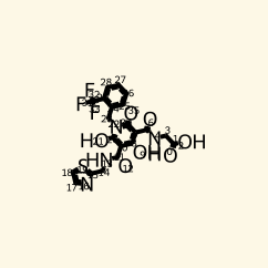 O=C(O)CNC(=O)c1c(O)c(C(=O)NCc2nccs2)c(O)n(Cc2ccccc2C(F)(F)F)c1=O